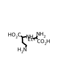 CCC(N)C(=O)O.NCCC(N)C(=O)O